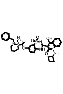 CS1(C(=O)Oc2ccc3c(c2)S(=O)(=O)N=C(c2c(O)c4ccccc4n(NC4CCC4)c2=O)N3)CCCCN1Cc1ccccc1